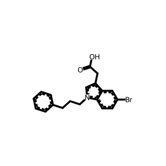 O=C(O)Cc1cn(CCCc2ccccc2)c2ccc(Br)cc12